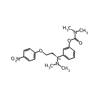 CN(C)C(=O)Oc1cccc([C@H](CCOc2ccc([N+](=O)[O-])cc2)N(C)C)c1